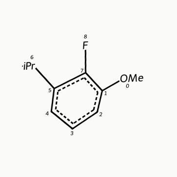 COc1cccc([C](C)C)c1F